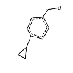 Cl[CH]c1ccc(C2CC2)cc1